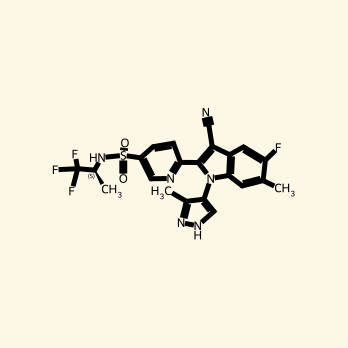 Cc1cc2c(cc1F)c(C#N)c(-c1ccc(S(=O)(=O)N[C@@H](C)C(F)(F)F)cn1)n2-c1c[nH]nc1C